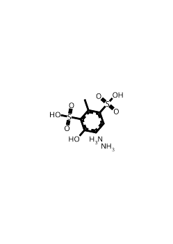 Cc1c(S(=O)(=O)O)ccc(O)c1S(=O)(=O)O.N.N